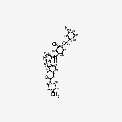 CN1CCN(C(=O)Cc2ccc3c(c2)sc2ncnc(Nc4ccc(OCc5cccc(F)c5)c(Cl)c4)c23)CC1